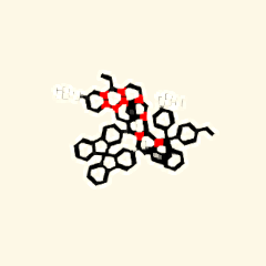 C=Cc1ccc(Cc2cc(N(c3ccccc3)c3ccc4c(c3)C3(c5ccccc5-4)c4ccccc4-c4ccc(N(c5ccccc5)c5ccc6c(c5)C(c5ccc(C=C)cc5)(c5ccc(C(C)(C)C)cc5)c5ccccc5-6)cc43)ccc2-c2ccccc2Cc2ccc(C(C)(C)C)cc2)cc1